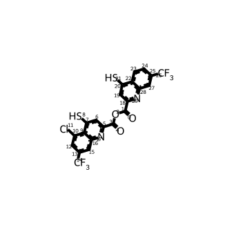 O=C(OC(=O)c1cc(S)c2c(Cl)cc(C(F)(F)F)cc2n1)c1cc(S)c2ccc(C(F)(F)F)cc2n1